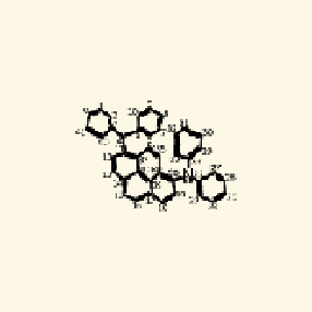 c1ccc(C(c2ccccc2)c2ccc3ccc4ccc(N(c5ccccc5)c5ccccc5)c5ccc2c3c45)cc1